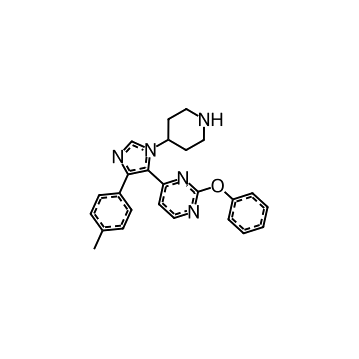 Cc1ccc(-c2ncn(C3CCNCC3)c2-c2ccnc(Oc3ccccc3)n2)cc1